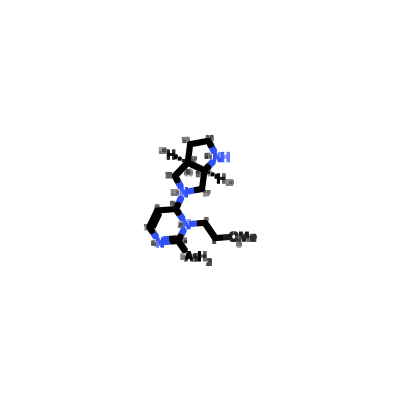 COCCN1C([AsH2])=NC=CC1N1C[C@H]2CCN[C@H]2C1